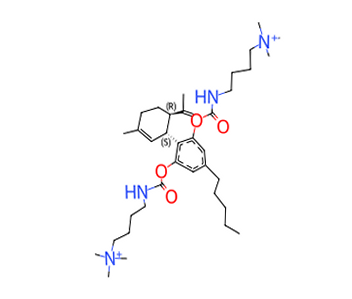 C=C(C)[C@@H]1CCC(C)=C[C@H]1c1c(OC(=O)NCCCC[N+](C)(C)C)cc(CCCCC)cc1OC(=O)NCCCC[N+](C)(C)C